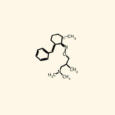 CC(CON=C1C(=Cc2ccccc2)CCC[C@@H]1C)CN(C)C